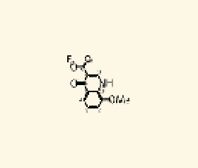 COc1cccc2c(=O)c(C(=O)OF)c[nH]c12